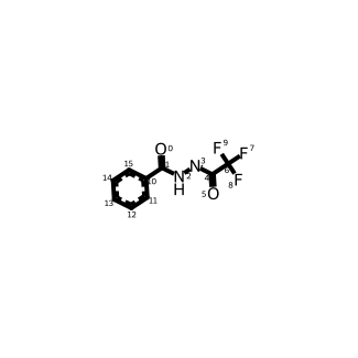 O=C(N[N]C(=O)C(F)(F)F)c1ccccc1